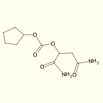 NC(=O)CC(OC(=O)OC1CCCC1)C(N)=O